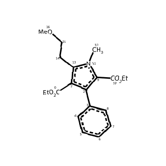 CCOC(=O)c1c(-c2ccccc2)c(C(=O)OCC)n(C)c1CCOC